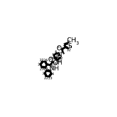 Cc1cc(C(=O)C[N+]23CCC(CC2)[C@@H](OC(=O)C(Nc2ccccc2)c2ccccc2)C3)cs1